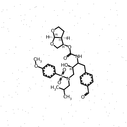 COc1ccc(S(=O)(=O)N(CC(C)C)C[C@@H](O)C(Cc2ccc(C=O)cc2)NC(=O)O[C@H]2CO[C@H]3OCC[C@H]32)cc1